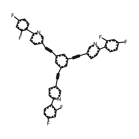 Fc1ccc(-c2ccc(C#Cc3cc(C#Cc4ccc(-c5ccc(F)cc5F)nc4)cc(C#Cc4ccc(-c5ccc(F)cc5F)nc4)c3)cn2)c(F)c1